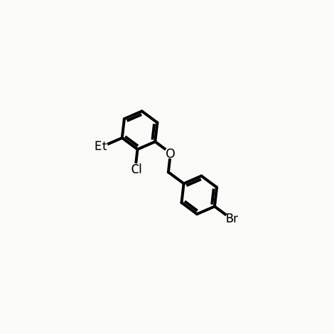 CCc1cccc(OCc2ccc(Br)cc2)c1Cl